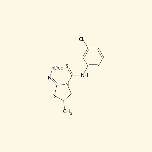 CCCCCCCCCC/N=C1/SC(C)CN1C(=S)Nc1cccc(Cl)c1